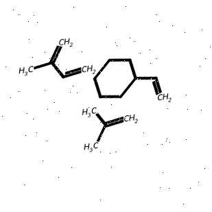 C=C(C)C.C=CC(=C)C.C=CC1CCCCC1